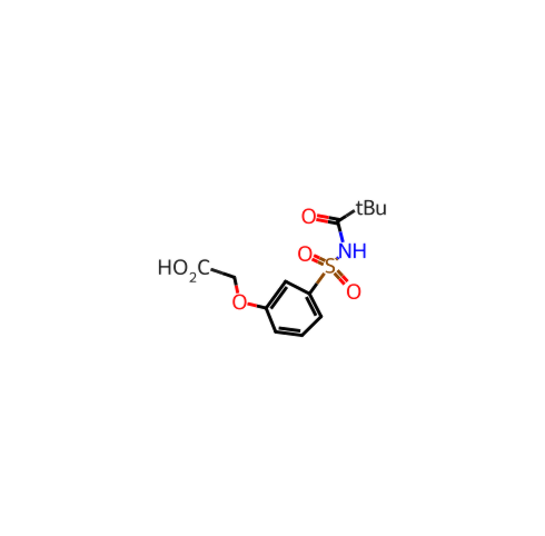 CC(C)(C)C(=O)NS(=O)(=O)c1cccc(OCC(=O)O)c1